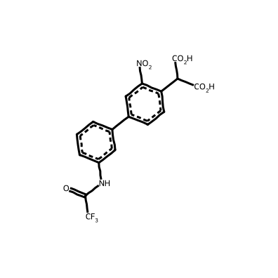 O=C(O)C(C(=O)O)c1ccc(-c2cccc(NC(=O)C(F)(F)F)c2)cc1[N+](=O)[O-]